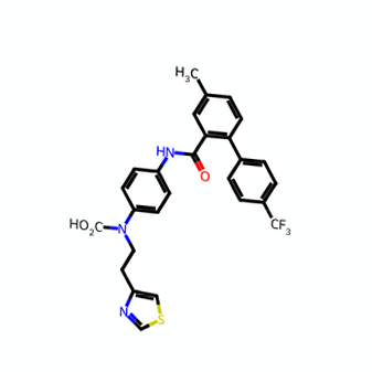 Cc1ccc(-c2ccc(C(F)(F)F)cc2)c(C(=O)Nc2ccc(N(CCc3cscn3)C(=O)O)cc2)c1